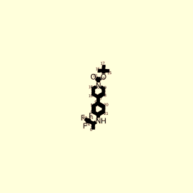 CC(Nc1ccc(C2=CCN(C(=O)OC(C)(C)C)CC2)cc1)C(F)(F)F